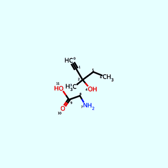 C#CC(C)(O)CC.NCC(=O)O